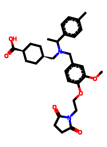 COc1cc(CN(C[C@H]2CC[C@H](C(=O)O)CC2)C(C)c2ccc(C)cc2)ccc1OCCN1C(=O)CCC1=O